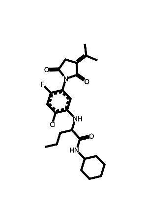 CCCC(Nc1cc(N2C(=O)CC(=C(C)C)C2=O)c(F)cc1Cl)C(=O)NC1CCCCC1